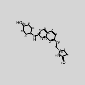 O=C1CC[C@H](COc2ccc3cnc(NC4CCC(O)CC4)nc3c2)N1